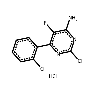 Cl.Nc1nc(Cl)nc(-c2ccccc2Cl)c1F